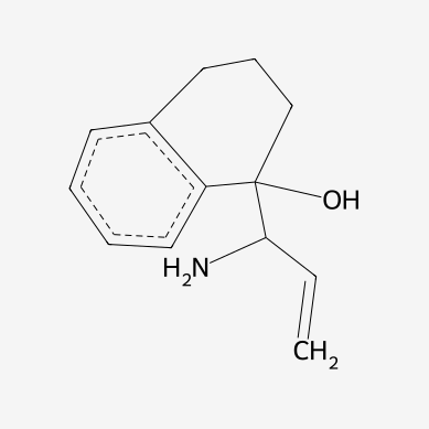 C=CC(N)C1(O)CCCc2ccccc21